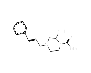 CCCC(=O)N1CCN(CC=Cc2ccccc2)CC1C